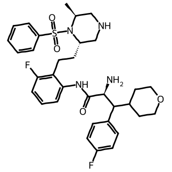 C[C@H]1CNC[C@H](CCc2c(F)cccc2NC(=O)[C@@H](N)C(c2ccc(F)cc2)C2CCOCC2)N1S(=O)(=O)c1ccccc1